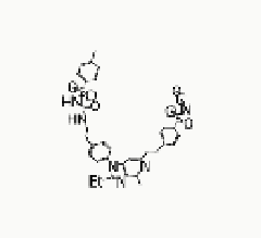 CCc1nc2c(C)nc(CCc3ccc(S(=O)(=O)N=C=O)cc3)cc2n1-c1ccc(CCNC(=O)NS(=O)(=O)c2ccc(C)cc2)cc1